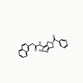 O=C(Cc1ccc2ccccc2c1)Nc1[nH]nc2c1CN(C(=O)c1cccnc1)C2